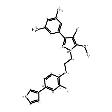 CCOc1c(F)c(-c2cc(C)cc(C)c2)nn1CCOc1ccc(-c2ccsc2)cc1Cl